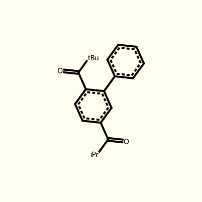 CC(C)C(=O)c1ccc(C(=O)C(C)(C)C)c(-c2ccccc2)c1